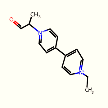 CC[n+]1ccc(-c2cc[n+](C(C)C=O)cc2)cc1